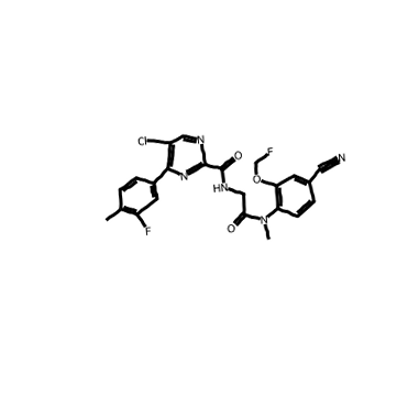 Cc1ccc(-c2nc(C(=O)NCC(=O)N(C)c3ccc(C#N)cc3OCF)ncc2Cl)cc1F